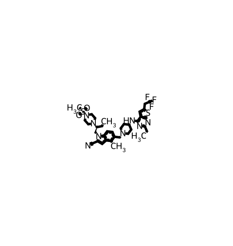 CCc1nc(NC2CCN(Cc3ccc4c(cc(C#N)n4C[C@H](CC)N4CCN(S(C)(=O)=O)CC4)c3C)CC2)c2cc(CC(F)(F)F)sc2n1